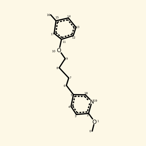 COc1ccc(CCC[CH]Oc2cccc(C)c2)cn1